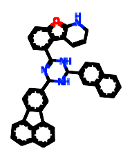 C1=Cc2c(oc3cccc(C4=NC(c5ccc6c(c5)-c5cccc7cccc-6c57)NC(c5ccc6ccccc6c5)N4)c23)NC1